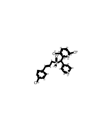 O=S(=O)(CC=Cc1ccc(Cl)cc1)C(c1ccncc1)c1nc(Cl)ccc1Cl